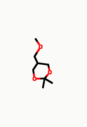 COCC1COC(C)(C)OC1